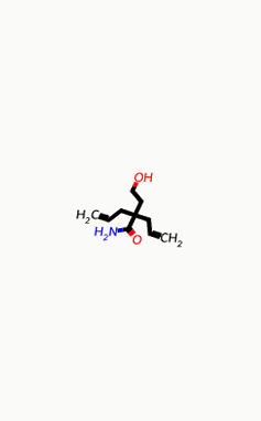 C=CCC(CC=C)(CCO)C(N)=O